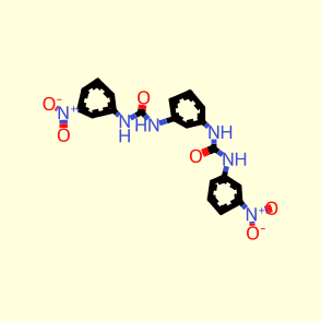 O=C(Nc1cccc(NC(=O)Nc2cccc([N+](=O)[O-])c2)c1)Nc1cccc([N+](=O)[O-])c1